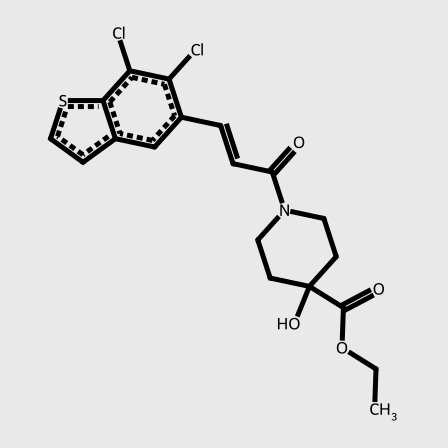 CCOC(=O)C1(O)CCN(C(=O)C=Cc2cc3ccsc3c(Cl)c2Cl)CC1